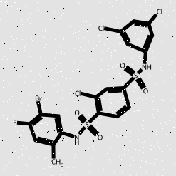 Cc1cc(F)c(Br)cc1NS(=O)(=O)c1ccc(S(=O)(=O)Nc2cc(Cl)cc(Cl)c2)cc1Cl